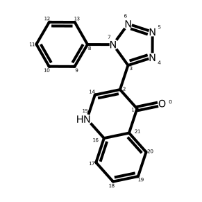 O=c1c(-c2nnnn2-c2ccccc2)c[nH]c2ccccc12